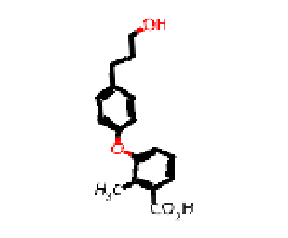 Cc1c(Oc2ccc(CCCO)cc2)cccc1C(=O)O